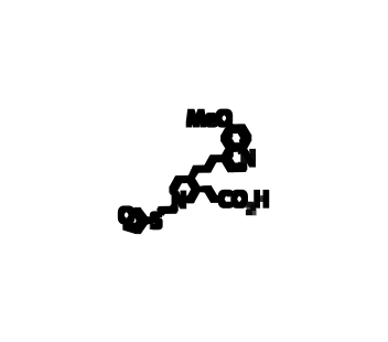 COc1ccc2nccc(CCC[C@@H]3CCN(CCSc4ccoc4)C[C@@H]3CCC(=O)O)c2c1